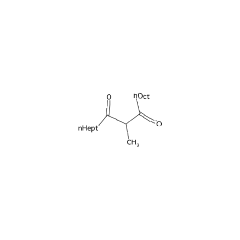 CCCCCCCCC(=O)C(C)C(=O)CCCCCCC